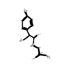 CCc1ccc(C(CC)C(=O)NCC(N)=O)cc1